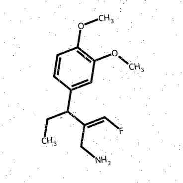 CCC(C(=CF)CN)c1ccc(OC)c(OC)c1